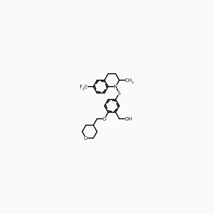 CC1CCc2cc(C(F)(F)F)ccc2N1Sc1ccc(OCC2CCOCC2)c(CO)c1